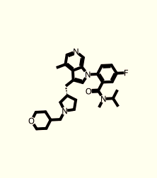 Cc1cncc2c1c(C[C@@H]1CCN(CC3CCOCC3)C1)cn2-c1ccc(F)cc1C(=O)N(C)C(C)C